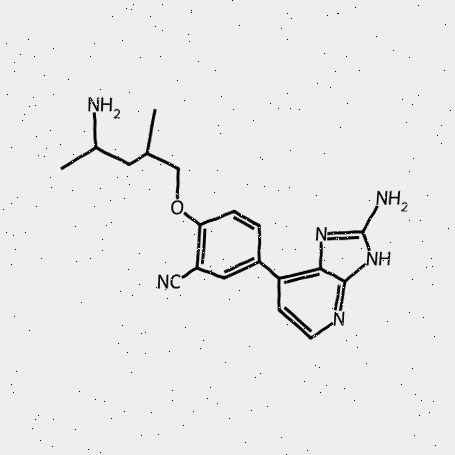 CC(N)CC(C)COc1ccc(-c2ccnc3[nH]c(N)nc23)cc1C#N